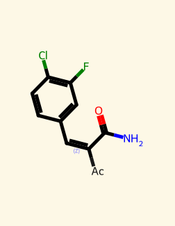 CC(=O)/C(=C/c1ccc(Cl)c(F)c1)C(N)=O